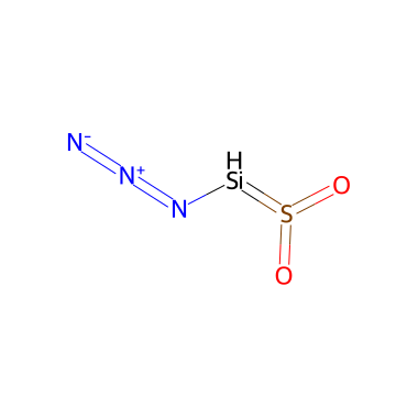 [N-]=[N+]=N[SiH]=S(=O)=O